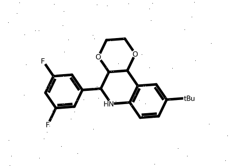 CC(C)(C)c1ccc2c(c1)C1OCCOC1C(c1cc(F)cc(F)c1)N2